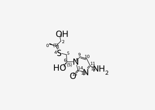 C[C@@H](CO)SC[C@H](O)n1ccc(N)nc1=O